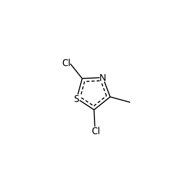 Cc1nc(Cl)sc1Cl